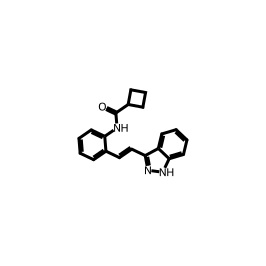 O=C(Nc1ccccc1/C=C/c1n[nH]c2ccccc12)C1CCC1